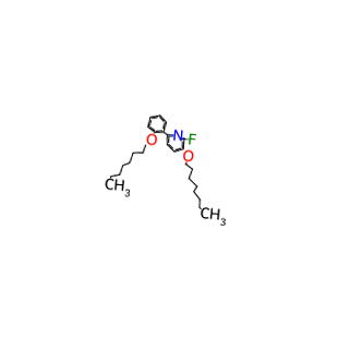 CCCCCCCCOc1ccccc1-c1ccc(OCCCCCCCC)c(F)n1